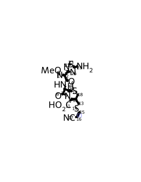 CON=C(C(=O)NC1C(=O)N2C(C(=O)O)=C(CS/C=C\C#N)CS[C@@H]12)c1nsc(N)n1